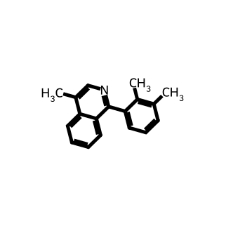 Cc1cccc(-c2ncc(C)c3ccccc23)c1C